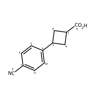 N#Cc1ccc(C2CC(C(=O)O)C2)cc1